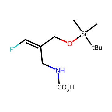 CC(C)(C)[Si](C)(C)OC/C(=C/F)CNC(=O)O